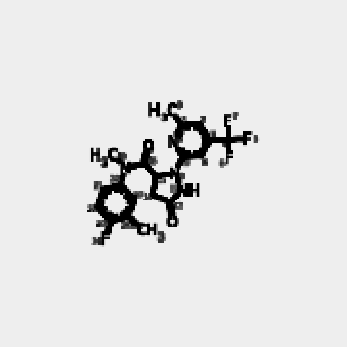 Cc1cc(C(F)(F)F)cc(N2NC(=O)CC2C(=O)N(C)c2ccc(F)c(C)c2)n1